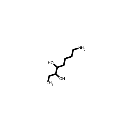 CCC(O)C(O)CCCCN